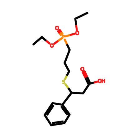 CCOP(=O)(CCCSC(CC(=O)O)c1ccccc1)OCC